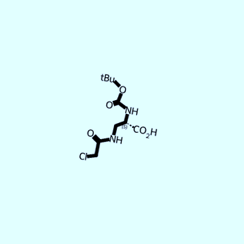 CC(C)(C)OC(=O)N[C@@H](CNC(=O)CCl)C(=O)O